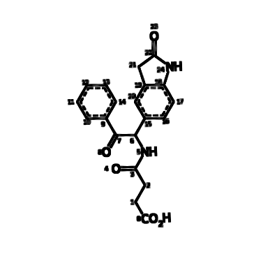 O=C(O)CCC(=O)NC(C(=O)c1ccccc1)c1ccc2c(c1)CC(=O)N2